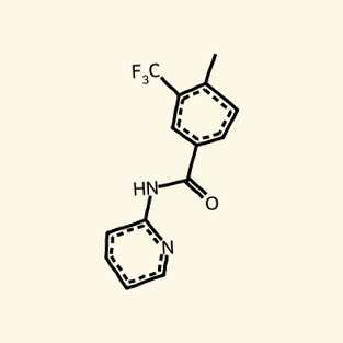 Cc1ccc(C(=O)Nc2ccccn2)cc1C(F)(F)F